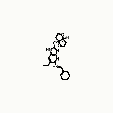 CCc1cc2[nH]c(O[C@@]34CCO[C@@H]3CCO4)nc2nc1NCC1=CCCCC1